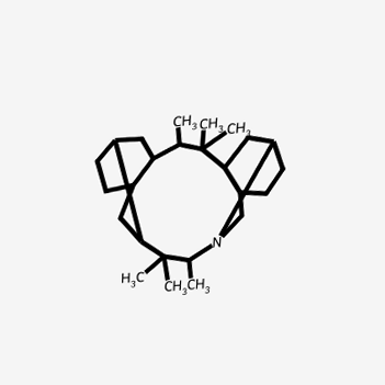 CC1C2CC3CCC2CC3C(C)(C)C(C)N2CC3CCC2CC3C1(C)C